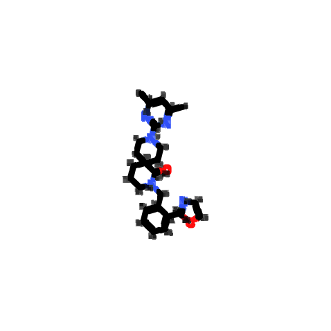 Cc1cc(C)nc(N2CCC3(CCCN(Cc4ccccc4-c4ncco4)C3=O)CC2)n1